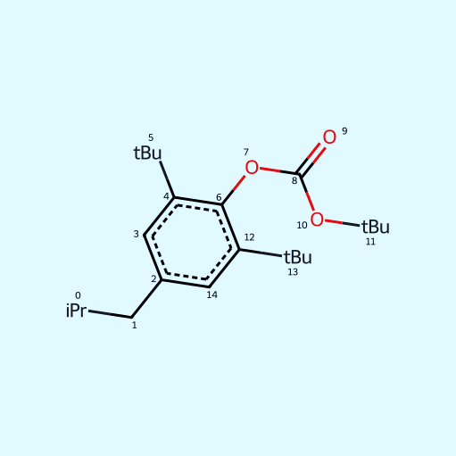 CC(C)Cc1cc(C(C)(C)C)c(OC(=O)OC(C)(C)C)c(C(C)(C)C)c1